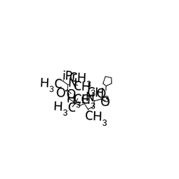 CC(CCC(C)(C)COC(=O)C(C(C)C(C)C)N(C)C)CC(C(=O)OCC1CCCC1)N(C)C